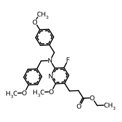 CCOC(=O)CCc1cc(F)c(N(Cc2ccc(OC)cc2)Cc2ccc(OC)cc2)nc1OC